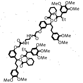 CCC(C(=O)N1CCCCC1C(=O)OC(CCc1ccc(OC)c(OC)c1)c1cccc(OCC(=O)NCCNC(=O)COc2cccc(C(CCc3ccc(OC)c(OC)c3)OC(=O)C3CCCCN3C(=O)C(CC)c3cc(OC)c(OC)c(OC)c3)c2)c1)c1cc(OC)c(OC)c(OC)c1